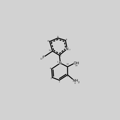 NC1=CC=CN(c2ncccc2F)C1O